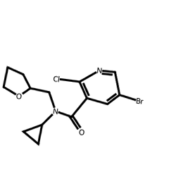 O=C(c1cc(Br)cnc1Cl)N(CC1CCCO1)C1CC1